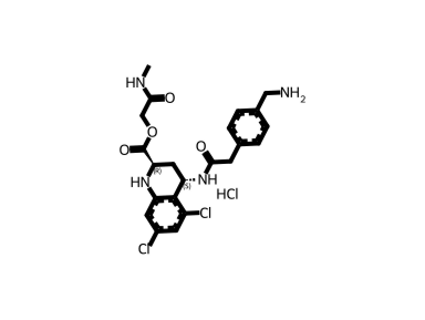 CNC(=O)COC(=O)[C@H]1C[C@H](NC(=O)Cc2ccc(CN)cc2)c2c(Cl)cc(Cl)cc2N1.Cl